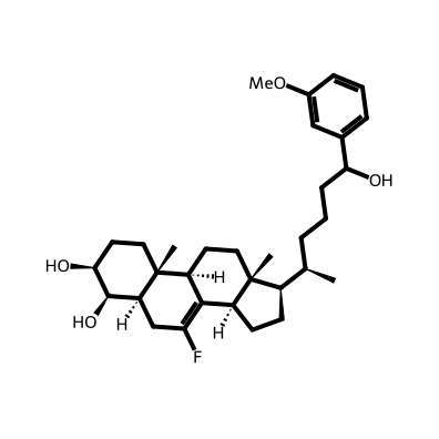 COc1cccc(C(O)CCC[C@@H](C)[C@H]2CC[C@H]3C4=C(F)C[C@H]5[C@@H](O)[C@@H](O)CC[C@]5(C)[C@H]4CC[C@]23C)c1